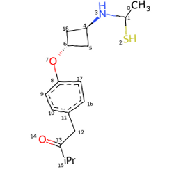 CC(S)N[C@H]1C[C@H](Oc2ccc(CC(=O)C(C)C)cc2)C1